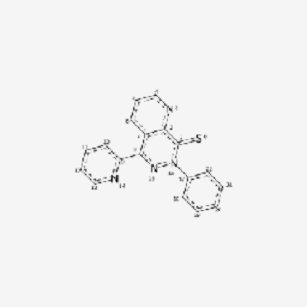 S=c1c2ncccc2c(-c2ccccn2)nn1-c1ccccc1